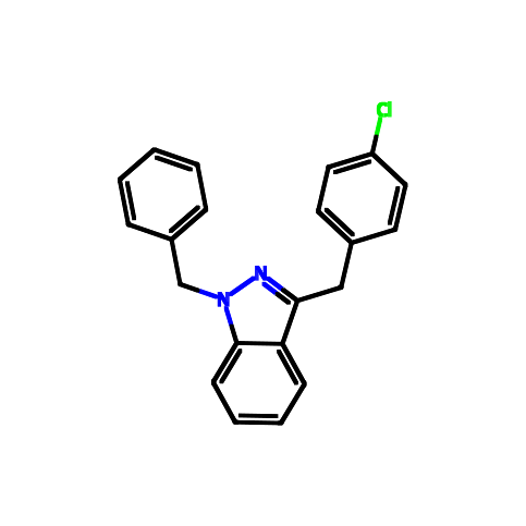 Clc1ccc(Cc2nn(Cc3ccccc3)c3ccccc23)cc1